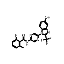 Cc1cccc(F)c1C(=O)Nc1cnc(-n2c(C(F)(F)F)nc3cc(O)ccc32)cn1